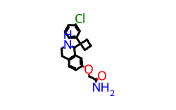 NC(=O)COc1ccc2c(c1)C(C1(c3cccc(Cl)c3)CCC1)NCC2